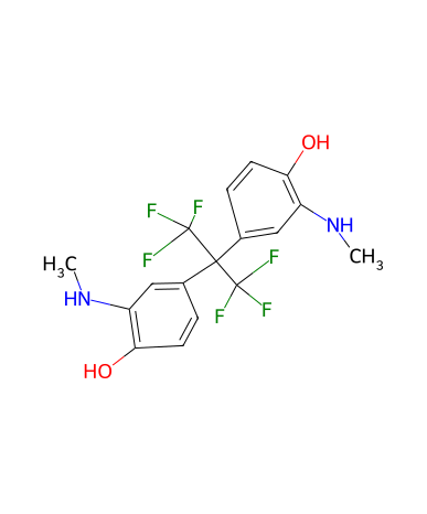 CNc1cc(C(c2ccc(O)c(NC)c2)(C(F)(F)F)C(F)(F)F)ccc1O